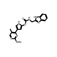 CNc1ncc(C)c(-c2c[nH]c(OC(=O)NCc3nc4ccccc4[nH]3)c2)n1